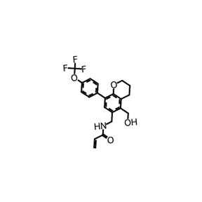 C=CC(=O)NCc1cc(-c2ccc(OC(F)(F)F)cc2)c2c(c1CO)CCCO2